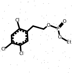 CCO[P](=O)OCCc1cc(Cl)c(Cl)cc1Cl